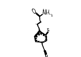 N#Cc1ccc([CH]CC(N)=O)c(F)c1